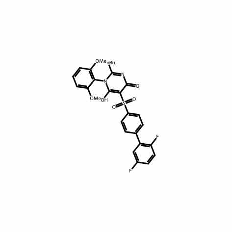 CCCCc1nc(=O)c(S(=O)(=O)c2ccc(-c3cc(F)ccc3F)cc2)c(O)n1-c1c(OC)cccc1OC